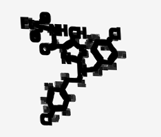 CCS(=O)(=O)NC(=O)c1nc(N(CCc2ccc(Cl)cc2)Cc2ccc(Cl)cc2)sc1C